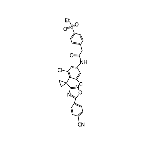 CCS(=O)(=O)c1ccc(CC(=O)Nc2cc(Cl)c(C3(c4noc(-c5ccc(C#N)cc5)n4)CC3)c(Cl)c2)cc1